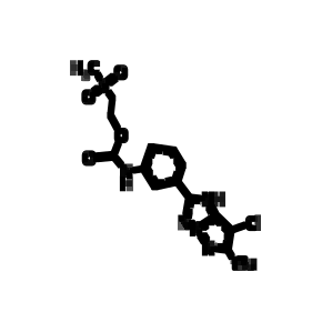 CC(C)(C)c1nn2nc(-c3cccc(NC(=O)OCCS(C)(=O)=O)c3)[nH]c2c1Cl